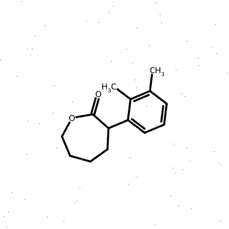 Cc1cccc(C2CCCCOC2=O)c1C